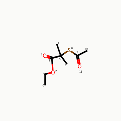 CCOC(=O)C(C)(C)SC(C)=O